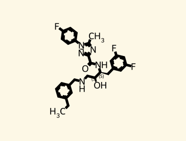 CCc1cccc(CNC[C@H](O)[C@H](Cc2cc(F)cc(F)c2)NC(=O)c2nc(C)n(-c3ccc(F)cc3)n2)c1